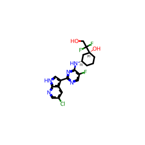 OCC(F)(F)[C@@]1(O)CCC[C@H](Nc2nc(-c3c[nH]c4ncc(Cl)cc34)ncc2F)C1